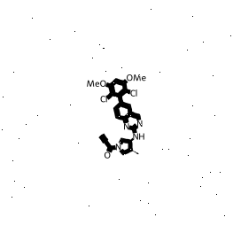 C#CC(=O)N1C[C@@H](C)[C@H](Nc2ncc3cc(-c4c(Cl)c(OC)cc(OC)c4Cl)ccc3n2)C1